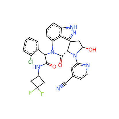 N#Cc1ccnc(N2C(O)CC[C@H]2C(=O)N(c2cccc3[nH]ncc23)C(C(=O)NC2CC(F)(F)C2)c2ccccc2Cl)c1